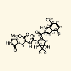 COC(=O)[C@H](C[C@@H]1CCNC1=O)NC(=O)[C@@H]1[C@@H]2[C@H](CN1C(=O)c1cc3c(F)ccc(Cl)c3[nH]1)C2(C)C